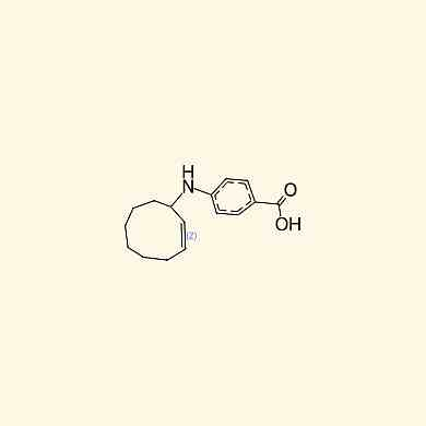 O=C(O)c1ccc(NC2/C=C\CCCCCC2)cc1